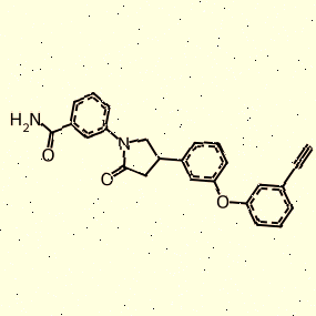 C#Cc1cccc(Oc2cccc(C3CC(=O)N(c4cccc(C(N)=O)c4)C3)c2)c1